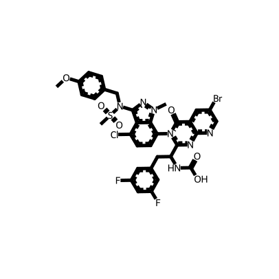 COc1ccc(CN(c2nn(C)c3c(-n4c(C(Cc5cc(F)cc(F)c5)NC(=O)O)nc5ncc(Br)cc5c4=O)ccc(Cl)c23)S(C)(=O)=O)cc1